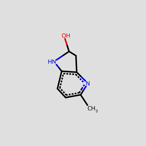 Cc1ccc2c(n1)CC(O)N2